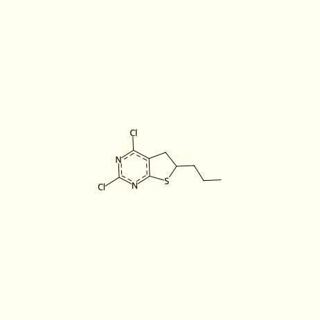 CCCC1Cc2c(Cl)nc(Cl)nc2S1